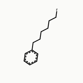 F[CH]CCCCCc1ccccc1